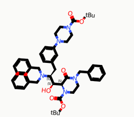 CC(C)(C)OC(=O)N1CCN(c2cccc(C[C@@H]([C@H](O)[C@H]3C(=O)N(Cc4ccccc4)CCN3C(=O)OC(C)(C)C)N(Cc3ccccc3)Cc3ccccc3)c2)CC1